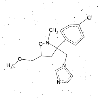 COCC1CC(Cn2ccnc2)(c2ccc(Cl)cc2)N(C)O1